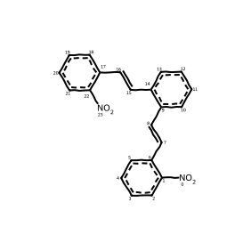 O=[N+]([O-])c1ccccc1C=Cc1ccccc1C=Cc1ccccc1[N+](=O)[O-]